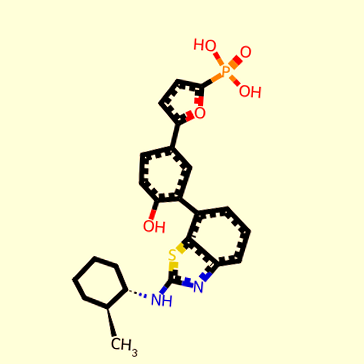 C[C@H]1CCCC[C@@H]1Nc1nc2cccc(-c3cc(-c4ccc(P(=O)(O)O)o4)ccc3O)c2s1